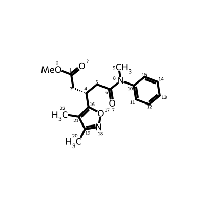 COC(=O)C[C@H](CC(=O)N(C)c1ccccc1)c1onc(C)c1C